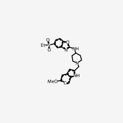 CCS(=O)(=O)c1ccc2oc(NC3CCN(Cc4cc5cc(OC)ccc5[nH]4)CC3)nc2c1